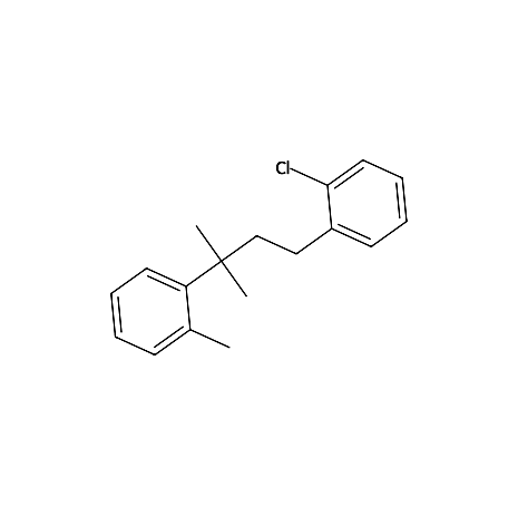 Cc1ccccc1C(C)(C)CCc1ccccc1Cl